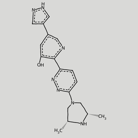 C[C@@H]1CN(c2ccc(-c3ncc(-c4cn[nH]c4)cc3O)nn2)C[C@H](C)N1